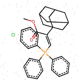 COC(=O)/C(=C\[P+](c1ccccc1)(c1ccccc1)c1ccccc1)C12CC3CC(CC(C3)C1)C2.[Cl-]